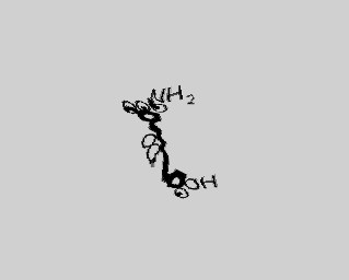 COc1cc(/C=C/C(=O)CC(=O)/C=C/c2ccc(OC(=O)CN)c(OC)c2)ccc1O